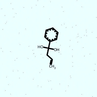 C=CCC(O)(O)c1ccccc1